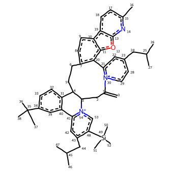 C=C1CC2C(CCc3ccc4c(oc5nc(C)ccc54)c3-c3cc(CC(C)C)cc[n+]31)c1ccc(C(C)(C)C)cc1-c1cc(CC(C)C)c([Si](C)(C)C)c[n+]12